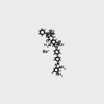 Cc1cc(N=Nc2ccc(-c3ccc(N=Nc4c(S(=O)(=O)O)cc5c(c4N)C(=O)C(=NNc4ccccc4)C(S(=O)(=O)O)=C5)cc3)cc2)c(N)cc1N.[Na+]